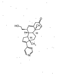 C[C@]12CCC(=O)CC1=C[C@H](CCO)[C@@H]1[C@@H]2CC[C@]2(C)C(c3ccncn3)=CC[C@@H]12